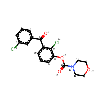 O=C(c1cccc(Cl)c1)c1cccc(OC(=O)N2CCOCC2)c1Cl